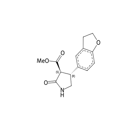 COC(=O)[C@@H]1C(=O)NC[C@H]1c1ccc2c(c1)CCO2